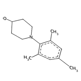 Cc1cc(C)c(N2CCC([O])CC2)c(C)c1